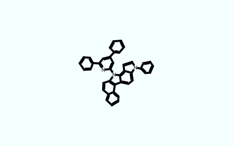 c1ccc(-c2cc(-c3ccccc3)nc(-n3c4ccc5ccccc5c4c4ccc5c(ccn5-c5ccccc5)c43)c2)cc1